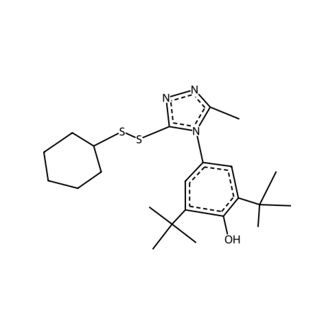 Cc1nnc(SSC2CCCCC2)n1-c1cc(C(C)(C)C)c(O)c(C(C)(C)C)c1